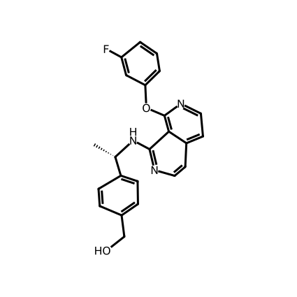 C[C@H](Nc1nccc2ccnc(Oc3cccc(F)c3)c12)c1ccc(CO)cc1